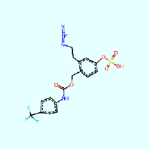 [N-]=[N+]=NCCc1cc(OS(=O)(=O)O)ccc1COC(=O)Nc1ccc(C(F)(F)F)cc1